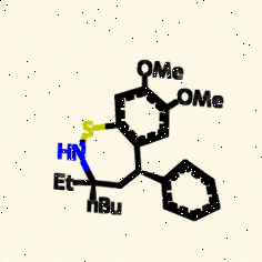 CCCC[C@]1(CC)C[C@H](c2ccccc2)c2cc(OC)c(OC)cc2SN1